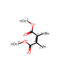 CCCCCCCCOC(=O)/C(CCCC)=C(\C(=O)OCCCCCCCC)C(C)C